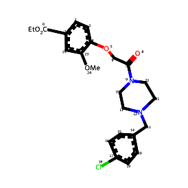 CCOC(=O)c1ccc(OCC(=O)N2CCN(Cc3ccc(Cl)cc3)CC2)c(OC)c1